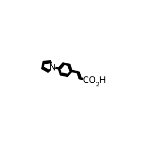 O=C(O)C=Cc1ccc(-n2cccc2)cc1